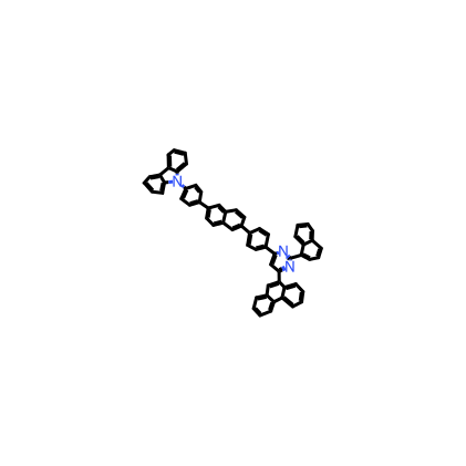 c1ccc2c(-c3nc(-c4ccc(-c5ccc6cc(-c7ccc(-n8c9ccccc9c9ccccc98)cc7)ccc6c5)cc4)cc(-c4cc5ccccc5c5ccccc45)n3)cccc2c1